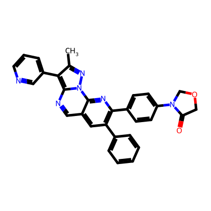 Cc1nn2c(ncc3cc(-c4ccccc4)c(-c4ccc(N5COCC5=O)cc4)nc32)c1-c1cccnc1